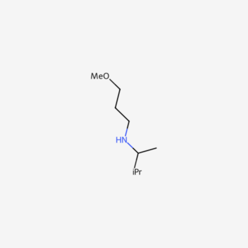 COCCCNC(C)C(C)C